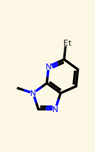 CCc1ccc2ncn(C)c2n1